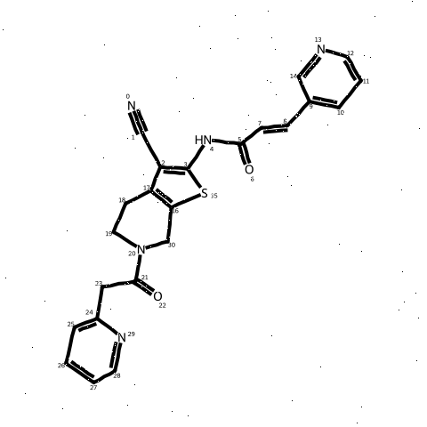 N#Cc1c(NC(=O)/C=C/c2cccnc2)sc2c1CCN(C(=O)Cc1ccccn1)C2